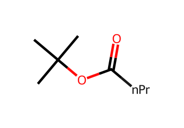 CCCC(=O)OC(C)(C)C